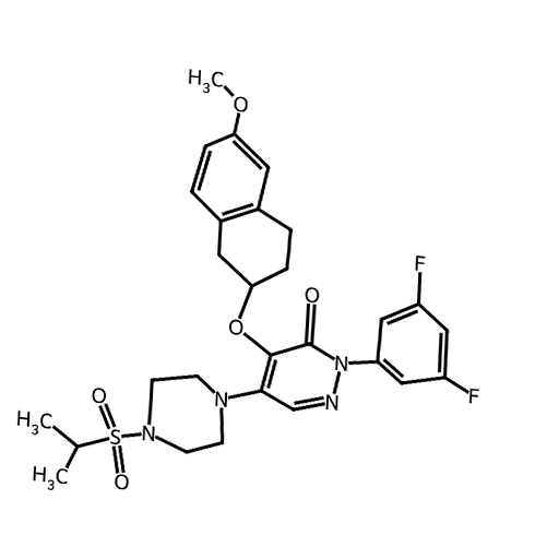 COc1ccc2c(c1)CCC(Oc1c(N3CCN(S(=O)(=O)C(C)C)CC3)cnn(-c3cc(F)cc(F)c3)c1=O)C2